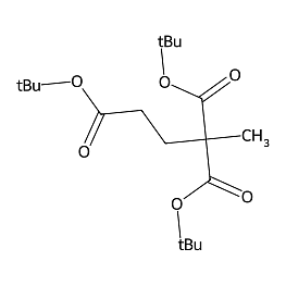 CC(C)(C)OC(=O)CCC(C)(C(=O)OC(C)(C)C)C(=O)OC(C)(C)C